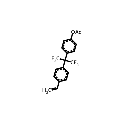 C=Cc1ccc(C(c2ccc(OC(C)=O)cc2)(C(F)(F)F)C(F)(F)F)cc1